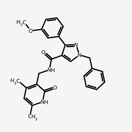 COc1cccc(-c2nn(Cc3ccccc3)cc2C(=O)NCc2c(C)cc(C)[nH]c2=O)c1